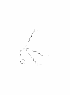 CCCCCCCCCCCCCCCCOCC(COCCCCCCCCCCCCCCCC)(COCCCCCCCCCCCCCCCC)COC(=O)CCCN1CCN(C)CC1